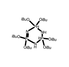 CC(C)COP1(OCC(C)C)=N[PH](OCC(C)C)(OCC(C)C)N[PH](OCC(C)C)(OCC(C)C)N1